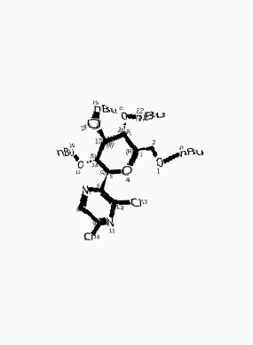 CCCCOC[C@H]1O[C@@H](c2ncc(Cl)nc2Cl)[C@H](OCCCC)[C@@H](OCCCC)[C@@H]1OCCCC